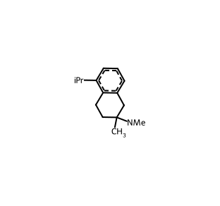 CNC1(C)CCc2c(cccc2C(C)C)C1